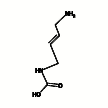 NCC=CCNC(=O)O